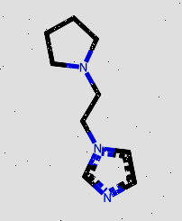 c1cn(CCN2CCCC2)cn1